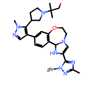 Cc1nc(C2=CN3CCOc4cc(-c5cnn(C)c5C5CCN(C(C)(C)CO)C5)ccc4C3N2)n(C(C)C)n1